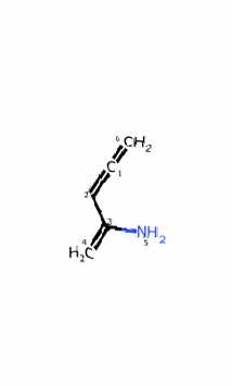 C=C=CC(=C)N